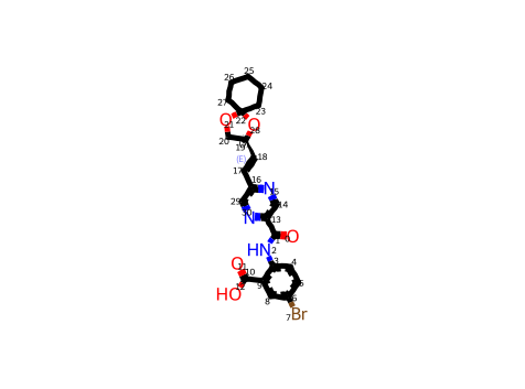 O=C(Nc1ccc(Br)cc1C(=O)O)c1cnc(/C=C/[C@H]2COC3(CCCCC3)O2)cn1